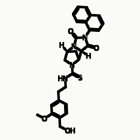 COc1cc(CCNC(=S)N2C[C@H]3CC2[C@H]2C(=O)N(c4cccc5ccccc45)C(=O)N32)ccc1CO